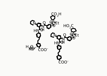 CCN([C@H]1CC[C@H](C(=O)O)CC1)S(=O)(=O)c1cccc(C(=O)Nc2ccc(N3CCCCC3)cc2C(=O)Nc2ccc(CCc3ccc(C(=O)[O-])cc3)cc2)c1.CCN([C@H]1CC[C@H](C(=O)O)CC1)S(=O)(=O)c1cccc(C(=O)Nc2ccc(N3CCCCC3)cc2C(=O)Nc2ccc(CCc3ccc(C(=O)[O-])cc3)cc2)c1.O.[Na+].[Na+]